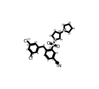 N#Cc1ccc(Cc2cc(Cl)cc(Cl)c2)c(S(=O)(=O)N2CCC(N3CCCC3)C2)c1